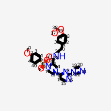 COc1ccc(S(=O)(=O)N2CCN(c3ccnc(-n4ccnc4)n3)CC2C(=O)NCCc2ccc3c(c2)OCO3)cc1